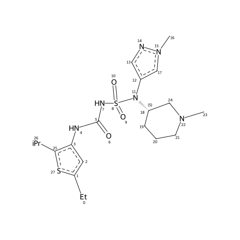 CCc1cc(NC(=O)NS(=O)(=O)N(c2cnn(C)c2)[C@H]2CCCN(C)C2)c(C(C)C)s1